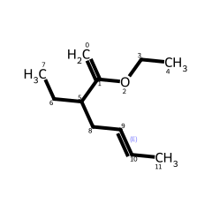 C=C(OCC)C(CC)C/C=C/C